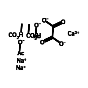 CC(=O)O.CC(=O)O.CC(=O)[O-].CC(=O)[O-].O=C([O-])C(=O)[O-].[Ca+2].[Na+].[Na+]